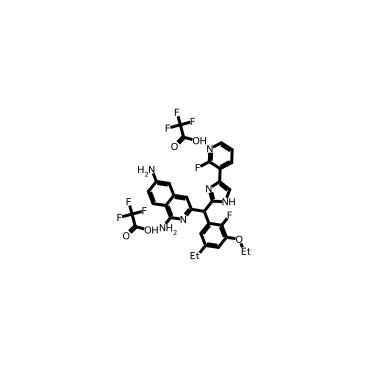 CCOc1cc(CC)cc(C(c2cc3cc(N)ccc3c(N)n2)c2nc(-c3cccnc3F)c[nH]2)c1F.O=C(O)C(F)(F)F.O=C(O)C(F)(F)F